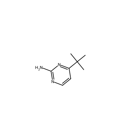 CC(C)(C)c1ccnc(N)n1